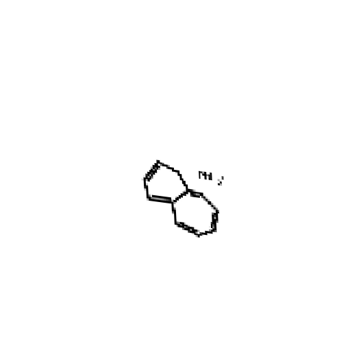 C1=CC=C2CC=CC=C2C=C1.[PbH2]